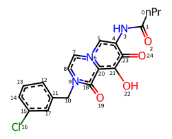 CCCC(=O)Nc1cn2ccn(Cc3cccc(Cl)c3)c(=O)c2c(O)c1=O